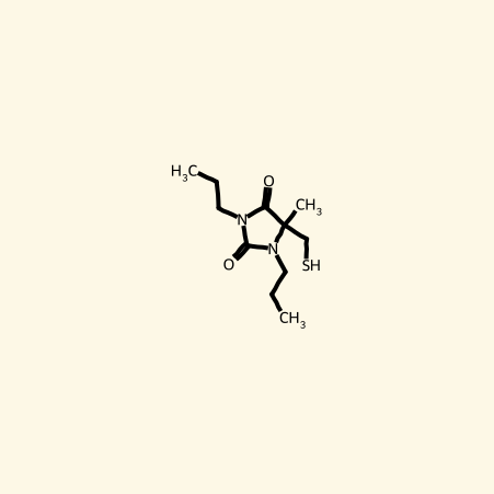 CCCN1C(=O)N(CCC)C(C)(CS)C1=O